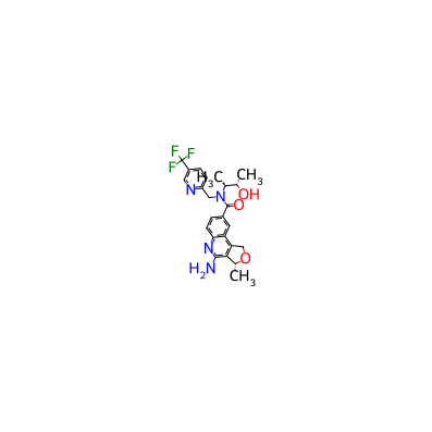 C[C@H](O)[C@H](C)N(Cc1ccc(C(F)(F)F)cn1)C(=O)c1ccc2nc(N)c3c(c2c1)CO[C@@H]3C